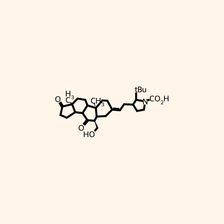 CC(C)(C)C1C(C/C=C2\CC[C@]3(C)C4CC[C@]5(C)C(=O)CCC5C4C(=O)[C@H](CO)C3C2)CCN1C(=O)O